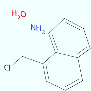 ClCc1cccc2ccccc12.N.O